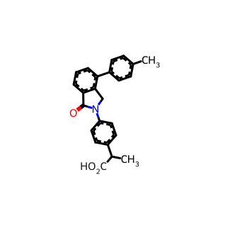 Cc1ccc(-c2cccc3c2CN(c2ccc(C(C)C(=O)O)cc2)C3=O)cc1